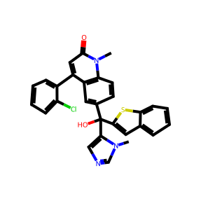 Cn1cncc1C(O)(c1ccc2c(c1)c(-c1ccccc1Cl)cc(=O)n2C)c1cc2ccccc2s1